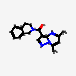 Cc1cc(C)n2ncc(C(=O)N3CCc4ccccc4C3)c2n1